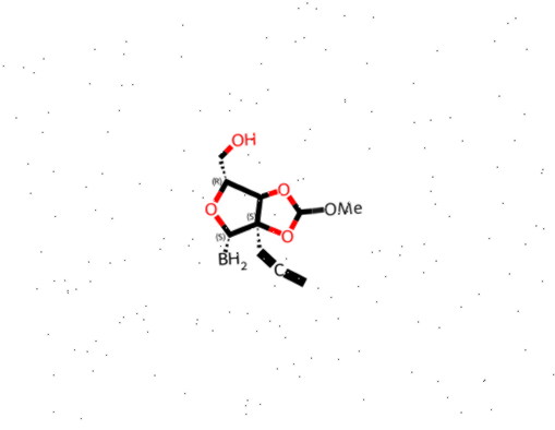 B[C@@H]1O[C@H](CO)C2OC(OC)O[C@]21C=C=C